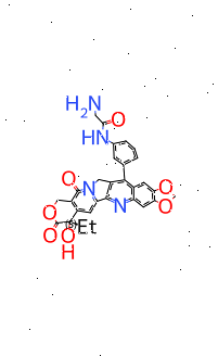 CC[C@@]1(O)C(=O)OCc2c1cc1n(c2=O)Cc2c-1nc1cc3c(cc1c2-c1cccc(NC(=O)CN)c1)OCO3